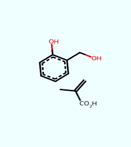 C=C(C)C(=O)O.OCc1ccccc1O